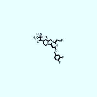 CCC/C=C1\N=C(OCc2ccc(F)c(F)c2)C=C2N1CC1CN(C(=O)C(C)(C)N)CCN21